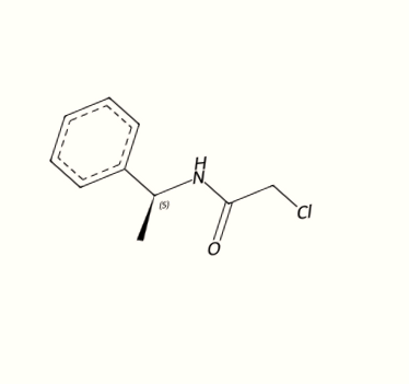 C[C@H](NC(=O)CCl)c1ccccc1